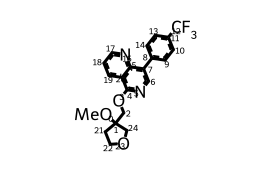 COC1(COc2ncc(-c3ccc(C(F)(F)F)cc3)c3ncccc23)CCOC1